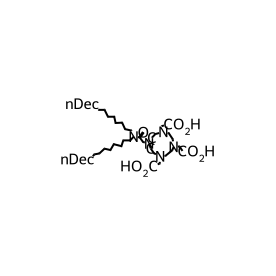 CCCCCCCCCCCCCCCCCCN(CCCCCCCCCCCCCCCCCC)C(=O)CN1CCN(CC(=O)O)CCN(CC(=O)O)CCN(CC(=O)O)CC1